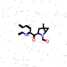 C=C/C=C\C(=N/C=C)C(=O)C1CC2(C)CC2N1C=O